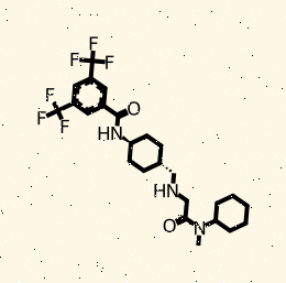 CN(C(=O)CNC[C@H]1CC[C@H](NC(=O)c2cc(C(F)(F)F)cc(C(F)(F)F)c2)CC1)C1CCCCC1